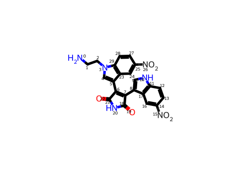 NCCn1cc(C2=C(c3c[nH]c4ccc([N+](=O)[O-])cc34)C(=O)NC2=O)c2cc([N+](=O)[O-])ccc21